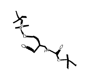 CC(C)(C)OC(=O)NCC(C=O)CO[Si](C)(C)C(C)(C)C